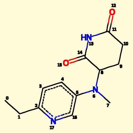 CCc1ccc(N(C)C2CCC(=O)NC2=O)cn1